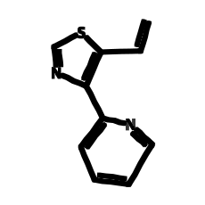 C=Cc1scnc1-c1ccccn1